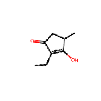 CCC1=C(O)C(C)CC1=O